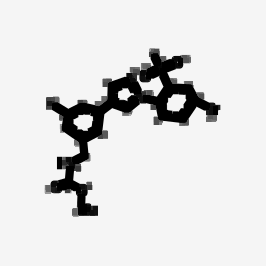 CC(C)(C)OC(=O)NCc1cc(F)cc(-c2cnn(-c3ccc(Br)cc3S(C)(=O)=O)c2)c1